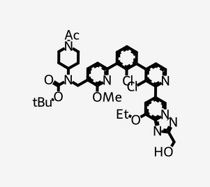 CCOc1cc(-c2nccc(-c3cccc(-c4ccc(CN(C(=O)OC(C)(C)C)C5CCN(C(C)=O)CC5)c(OC)n4)c3Cl)c2Cl)cn2nc(CO)nc12